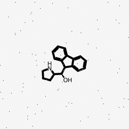 O[C@@H](C1CCCN1)C1c2ccccc2-c2ccccc21